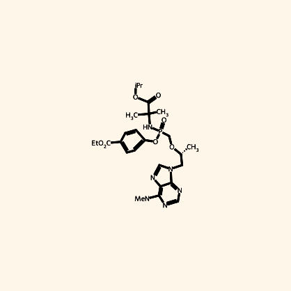 CCOC(=O)c1ccc(OP(=O)(CO[C@H](C)Cn2cnc3c(NC)ncnc32)NC(C)(C)C(=O)OC(C)C)cc1